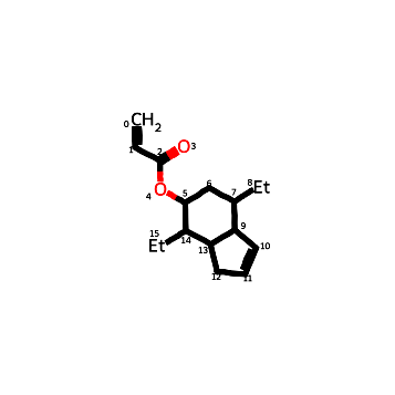 C=CC(=O)OC1CC(CC)C2C=CCC2C1CC